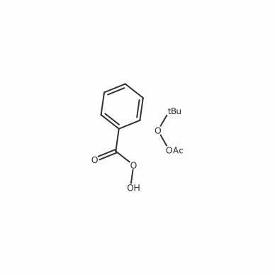 CC(=O)OOC(C)(C)C.O=C(OO)c1ccccc1